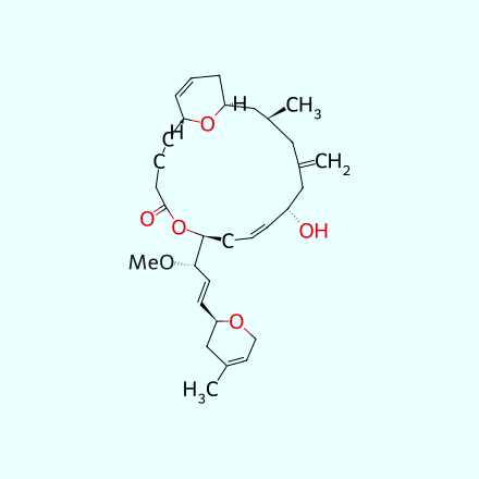 C=C1C[C@H](C)C[C@@H]2CC=C[C@@H](CCCC(=O)O[C@H]([C@H](/C=C/[C@@H]3CC(C)=CCO3)OC)C/C=C/[C@@H](O)C1)O2